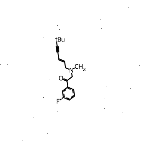 CN(CC=CC#CC(C)(C)C)CC(=O)c1cccc(F)c1